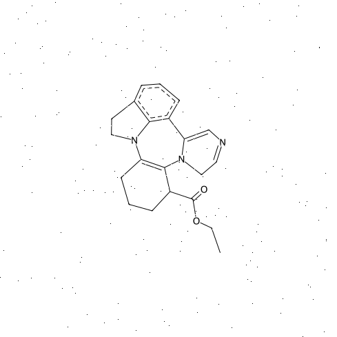 CCOC(=O)C1CCCC2=C1N1CC=NC=C1c1cccc3c1N2CC3